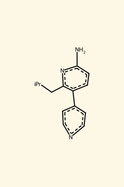 CC(C)Cc1nc(N)ccc1-c1ccncc1